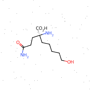 NC(=O)CC[C@@](N)(CCCCCO)C(=O)O